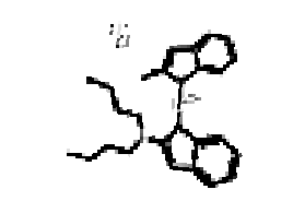 CCCCP(CCCC)C1=Cc2ccccc2[CH]1[Hf+2][CH]1C(C)=Cc2ccccc21.[Cl-].[Cl-]